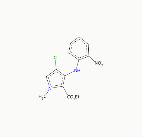 CCOC(=O)c1c(Nc2ccccc2[N+](=O)[O-])c(Cl)cn1C